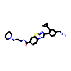 NCc1ccc(-c2cn3c(n2)sc2cc(C(=O)NCCCN4CCCCC4)ccc23)c(C2CC2)c1